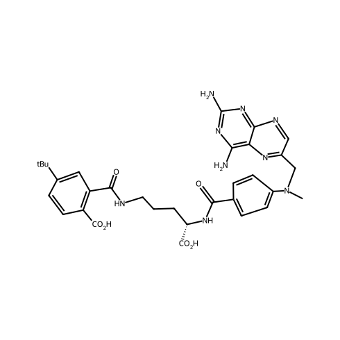 CN(Cc1cnc2nc(N)nc(N)c2n1)c1ccc(C(=O)N[C@@H](CCCNC(=O)c2cc(C(C)(C)C)ccc2C(=O)O)C(=O)O)cc1